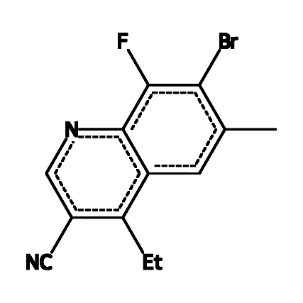 CCc1c(C#N)cnc2c(F)c(Br)c(C)cc12